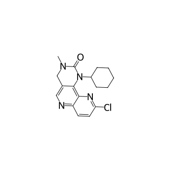 CN1Cc2cnc3ccc(Cl)nc3c2N(C2CCCCC2)C1=O